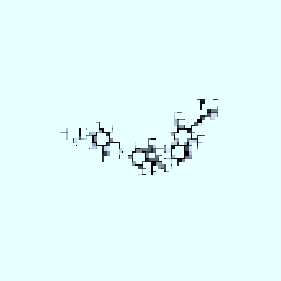 Cc1ccc(CCc2cc(F)c(C(F)(F)Oc3ccc4c(F)c(C#CC(F)(F)F)c(F)cc4c3)c(F)c2)c(F)c1